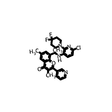 Cc1cc(C(C)Nc2ccc(Cl)nc2N2CCC(F)(F)CC2)c2oc(-c3cccnc3)c(C)c(=O)c2c1